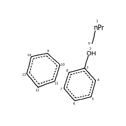 CCCC.Oc1ccccc1.c1ccccc1